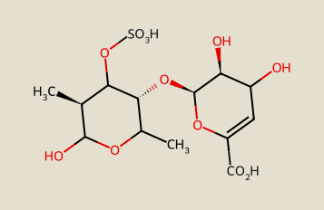 CC1OC(O)[C@@H](C)C(OS(=O)(=O)O)[C@@H]1O[C@@H]1OC(C(=O)O)=CC(O)[C@@H]1O